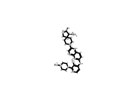 CC(=O)N1CCN(c2nccc(Sc3ccc4nc(N5CCC6(CC5)CO[C@@H](C)[C@H]6N)cnc4n3)c2Cl)CC1